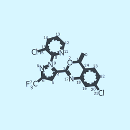 C=C1OC(c2cc(C(F)(F)F)nn2-c2ncccc2Cl)=Nc2cc(Cl)ccc21